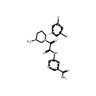 C[C@H]1CC[C@H](c2cc(F)cc(F)c2)N(C(=O)C(=O)Nc2cncc(C(N)=O)c2)C1